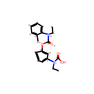 CCN(C(=O)O)c1cccc(OC(=O)N(CC)c2ccccc2C)c1